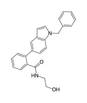 O=C(NCCO)c1ccccc1-c1ccc2c(ccn2Cc2ccccc2)c1